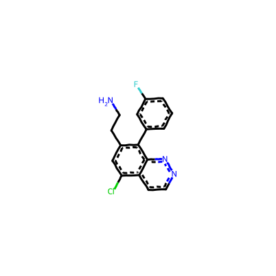 NCCc1cc(Cl)c2ccnnc2c1-c1cccc(F)c1